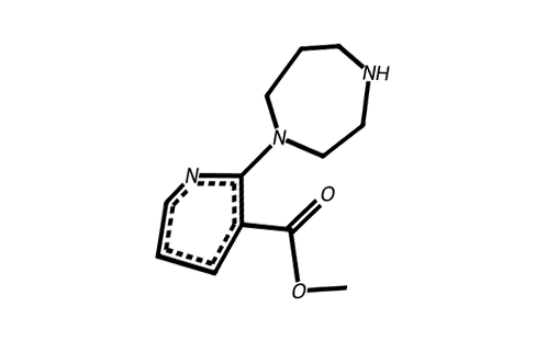 COC(=O)c1cccnc1N1CCCNCC1